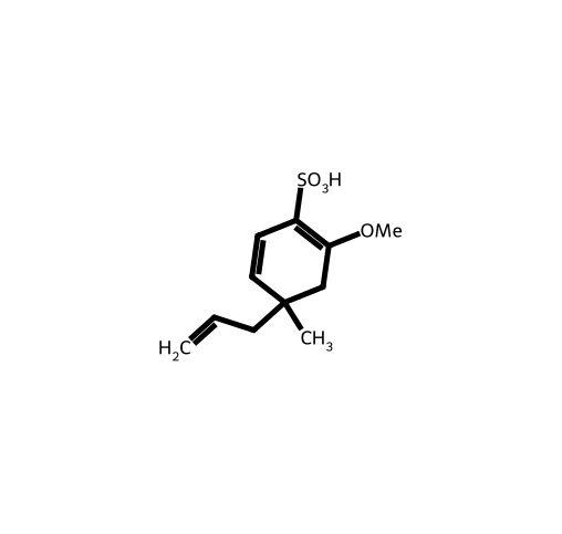 C=CCC1(C)C=CC(S(=O)(=O)O)=C(OC)C1